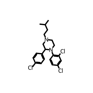 CC(C)CCN1CCN(c2ccc(Cl)cc2Cl)C(c2ccc(Cl)cc2)C1